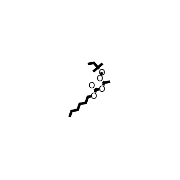 CCCCCCOC(=O)OC(C)OOC(C)(C)CC